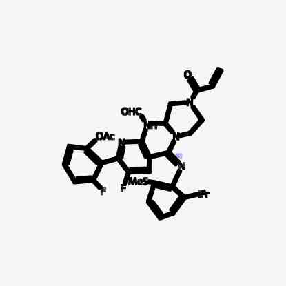 C=CC(=O)N1CCN(/C(=N/c2c(SC)cccc2C(C)C)c2cc(F)c(-c3c(F)cccc3OC(C)=O)nc2NC=O)C(C)C1